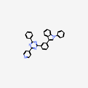 c1ccc(-c2nc(-c3ccncc3)nc(-c3cccc(-c4cn(-c5ccccc5)c5ccccc45)c3)n2)cc1